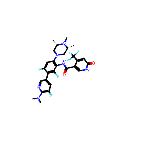 C[C@@H]1CN(c2cc(F)c(-c3cnc(N(C)C)c(F)c3)c(F)c2NC(=O)c2c[nH]c(=O)cc2C(F)(F)F)C[C@H](C)N1C